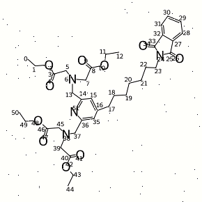 CCOC(=O)CN(CC(=O)OCC)Cc1cc(CCCCCCCN2C(=O)c3ccccc3C2=O)cc(CN(CC(=O)OCC)CC(=O)OCC)n1